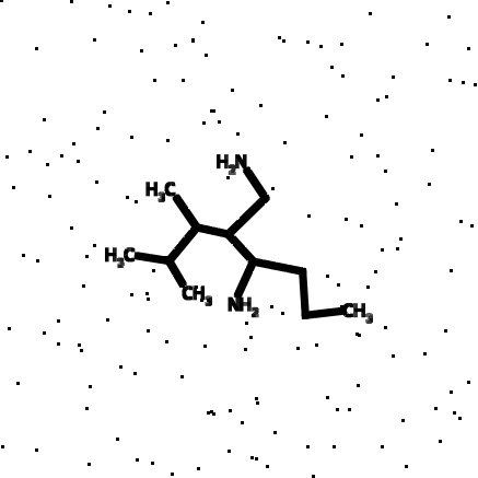 CCCC(N)C(CN)C(C)C(C)C